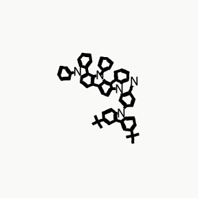 CC(C)(C)c1ccc2c(c1)c1cc(C(C)(C)C)ccc1n2-c1ccc(C#N)c(-n2c3ccccc3c3c2ccc2c4ccc5c(c6ccccc6n5-c5ccccc5)c4n(-c4ccccc4)c23)c1